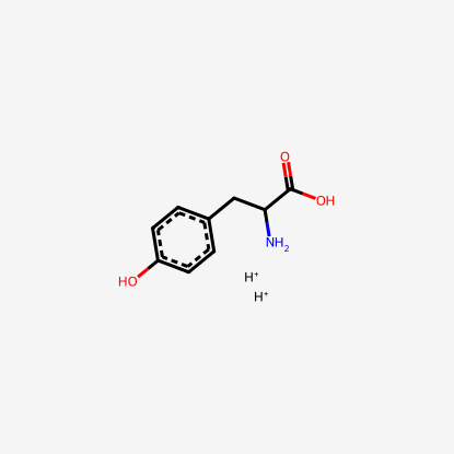 NC(Cc1ccc(O)cc1)C(=O)O.[H+].[H+]